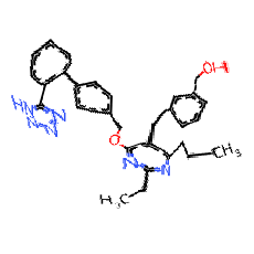 CCCc1nc(CC)nc(OCc2ccc(-c3ccccc3-c3nnn[nH]3)cc2)c1Cc1cccc(CO)c1